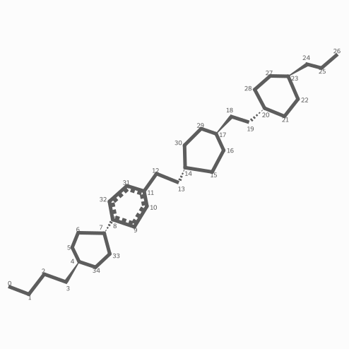 CCCC[C@H]1CC[C@H](c2ccc(CC[C@H]3CC[C@H](CC[C@H]4CC[C@H](CCC)CC4)CC3)cc2)CC1